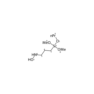 CCCO[Si](CCCNO)(OC)OC